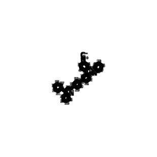 [C-]#[N+]c1ccc2c3cc(-c4ccc(-c5cc(-c6ccccc6)c6ccccc6n5)cc4)ccc3c3nc4ccccc4n3c2c1